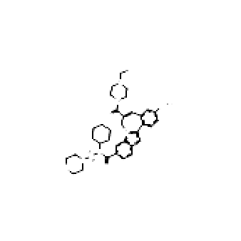 COc1ccc2c(c1)C=C(C(=O)N1CCN(CC(F)(F)F)CC1)Cn1c-2cc2ccc(C(=O)N(C3CCCCC3)S(=O)(=O)N3CCOCC3)cc21